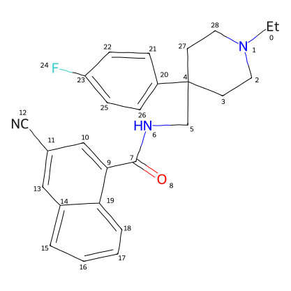 CCN1CCC(CNC(=O)c2cc(C#N)cc3ccccc23)(c2ccc(F)cc2)CC1